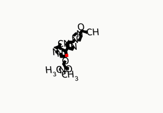 C#CC(=O)N1CCN(c2ccc(-c3cc(OCC(=O)N(C)C)cn4ncc(C#N)c34)cn2)CC1